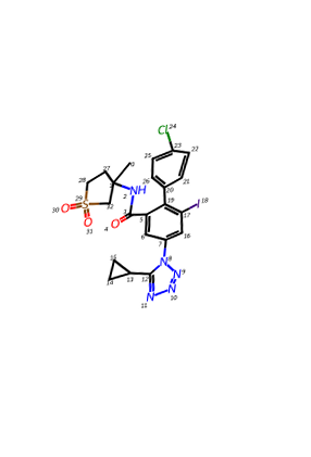 CC1(NC(=O)c2cc(-n3nnnc3C3CC3)cc(I)c2-c2ccc(Cl)cc2)CCS(=O)(=O)C1